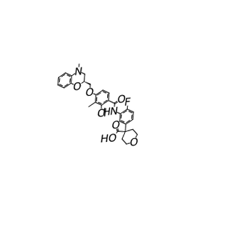 Cc1c(OC[C@@H]2CN(C)c3ccccc3O2)ccc(C(=O)Nc2cc(C3(C(=O)O)CCOCC3)ccc2F)c1Cl